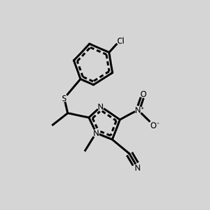 CC(Sc1ccc(Cl)cc1)c1nc([N+](=O)[O-])c(C#N)n1C